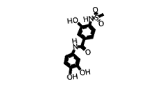 CS(=O)(=O)Nc1ccc(C(=O)Nc2ccc(O)c(O)c2)cc1O